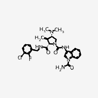 C=C1[C@@H](C(=O)NCc2cccc(Cl)c2F)N(C(=O)Nc2cn(C(N)=O)c3ccccc23)C[C@H]1N(C)C